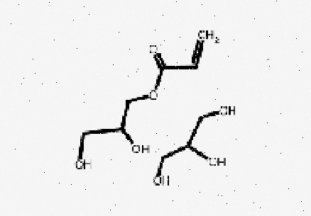 C=CC(=O)OCC(O)CO.OCC(O)CO